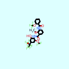 COc1c(NC(=O)c2ccccc2OC(F)(F)F)cccc1C(=O)Nc1c(O)cc(C(F)(C(F)(F)F)C(F)(F)F)cc1OC(F)F